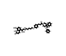 O=C(CCc1ccc(OCCCCCNCC(O)c2ccc(O)c3[nH]c(=O)ccc23)cc1)N1CCC(C(=O)OC2CN3CCC2CC3)(c2ccccc2)CC1